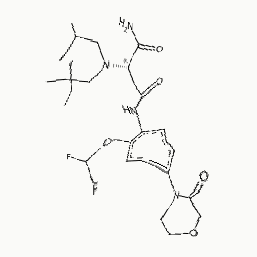 CC(C)CN(CC(C)(C)C)[C@H](C(N)=O)C(=O)Nc1ccc(N2CCOCC2=O)cc1OC(F)F